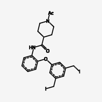 CC(=O)N1CCC(C(=O)Nc2ccccc2Oc2cc(CI)cc(CI)c2)CC1